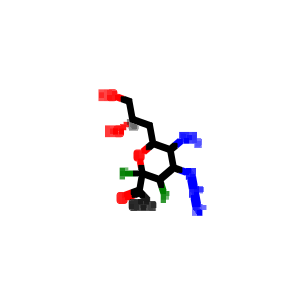 COC(=O)C1(F)OC(C[C@H](O)CO)C(N)C(N=[N+]=[N-])C1F